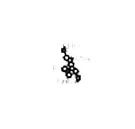 CCCCCCCCC1(CCCCCCCC)c2cc(-c3ccc(C=O)s3)ccc2-c2cc3c(cc21)-c1ccc(-c2ccc(C=O)s2)cc1C3(c1ccc(C(C)(C)C)cc1)c1ccc(C(C)(C)C)cc1